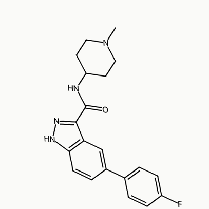 CN1CCC(NC(=O)c2n[nH]c3ccc(-c4ccc(F)cc4)cc23)CC1